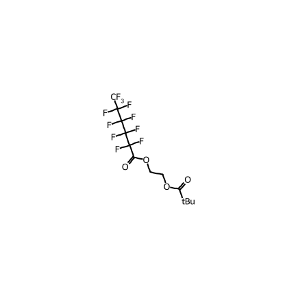 CC(C)(C)C(=O)OCCOC(=O)C(F)(F)C(F)(F)C(F)(F)C(F)(F)C(F)(F)F